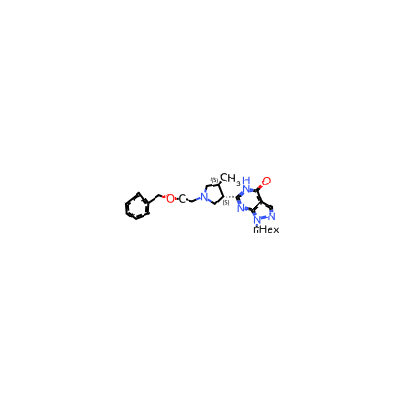 CCCCCCn1ncc2c(=O)[nH]c([C@@H]3CN(CCOCc4ccccc4)C[C@H]3C)nc21